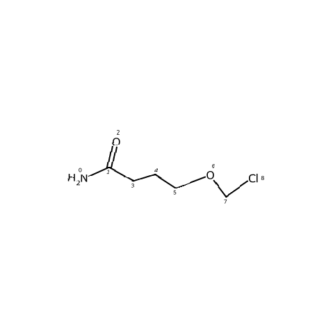 NC(=O)CCCOCCl